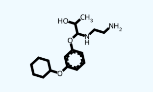 CC(O)C(NCCN)Oc1cccc(OC2CCCCC2)c1